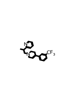 CC(CN1CC=C(c2cccc(C(F)(F)F)c2)CC1)c1ccccn1